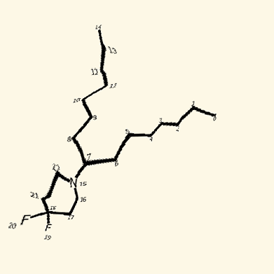 CCCCCCCC(CCCCCCC)N1CCC(F)(F)CC1